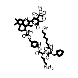 CC[C@@]1(O)C(=O)OCc2c1cc1n(c2=O)Cc2c-1nc1cc(C)c(C)c3c1c2[C@@H](NC(=O)OCc1ccc(NC(=O)[C@H](CCCCN)NC(=O)[C@H](Cc2ccccc2)NC(=O)CCCCCCC(C)C)cc1)CC3